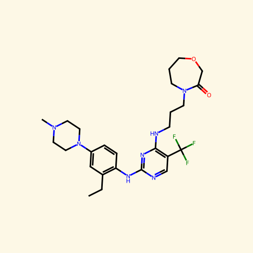 CCc1cc(N2CCN(C)CC2)ccc1Nc1ncc(C(F)(F)F)c(NCCCN2CCCOCC2=O)n1